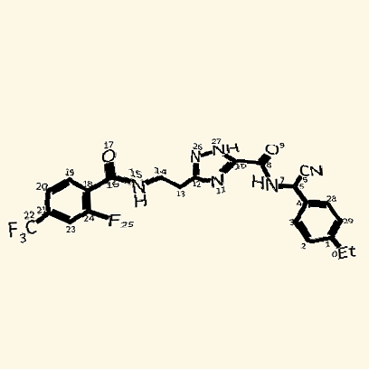 CCc1ccc(C(C#N)NC(=O)c2nc(CCNC(=O)c3ccc(C(F)(F)F)cc3F)n[nH]2)cc1